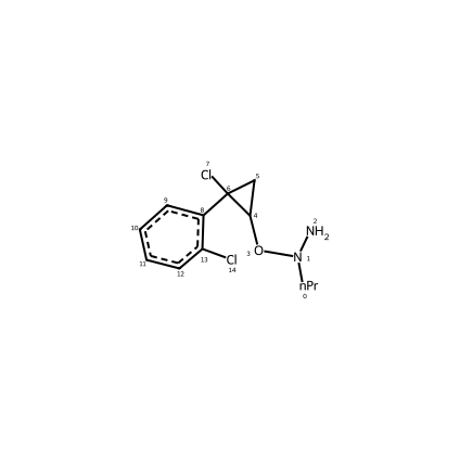 CCCN(N)OC1CC1(Cl)c1ccccc1Cl